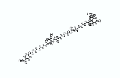 O=C(CCC(NC(=O)CCCCCCCCCOc1ccc(C(=O)O)cc1)C(=O)O)NCCOCCOCC(=O)NCCOCCOCC(=O)Oc1c(Cl)cc(Cl)cc1S(=O)(=O)O